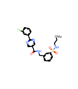 COCCNS(=O)(=O)c1cccc(CNC(=O)c2cnc(-c3cccc(F)c3)nc2)c1